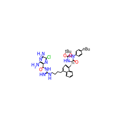 CCCCc1ccc(NC(=O)[C@H](Cc2ccc(CCCCNC(=N)NC(=O)c3nc(Cl)c(N)nc3N)c3ccccc23)NC(=O)OC(C)(C)C)cc1